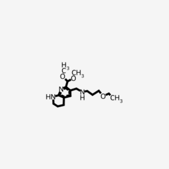 CCOCCCNCc1cc2c(nc1C(OC)OC)NCCC2